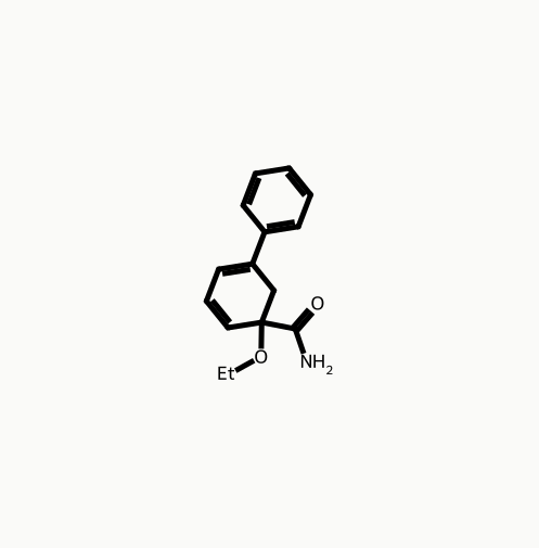 CCOC1(C(N)=O)C=CC=C(c2ccccc2)C1